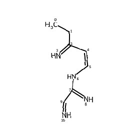 CCC(=N)/C=C\NC(=N)C=N